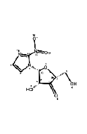 O=C1[C@@H](CO)O[C@@H](n2ccnc2[N+](=O)[O-])[C@H]1O